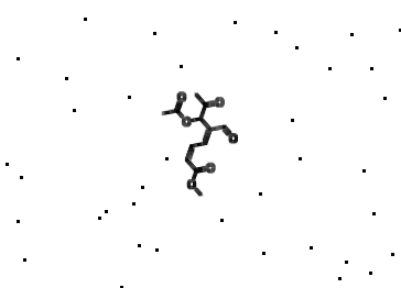 COC(=O)/C=C\C=C(\C=O)C(OC(C)=O)C(C)=O